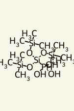 C[Si](C)(C)O[Si](O[Si](C)(C)C)(O[Si](C)(C)C)[PH](O)(O)O